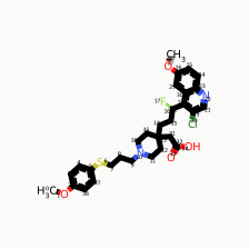 COc1ccc(SCCCN2CCC(CC[C@@H](F)c3c(Cl)cnc4ccc(OC)cc34)(CC(=O)O)CC2)cc1